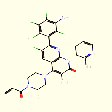 C=CC(=O)N1[C@H](C)CN(c2c(C#N)c(=O)n([C@H]3C(C(C)C)=NC=C[C@H]3C)c3nc(-c4c(Cl)c(N)c(Cl)c(Cl)c4Cl)c(Cl)cc23)C[C@@H]1C